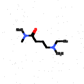 CON(C)C(=O)CCCN(CC(C)(C)C)C(=O)O